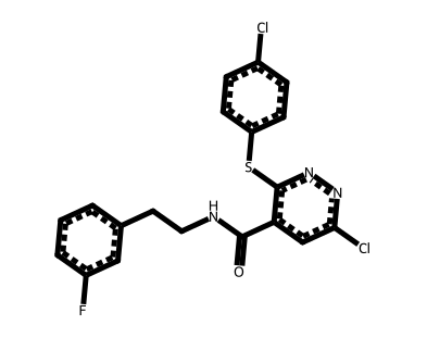 O=C(NCCc1cccc(F)c1)c1cc(Cl)nnc1Sc1ccc(Cl)cc1